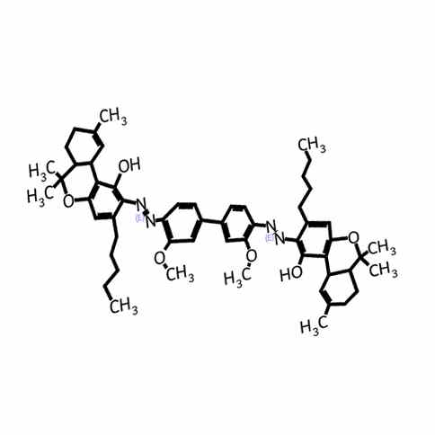 CCCCCc1cc2c(c(O)c1/N=N/c1ccc(-c3ccc(/N=N/c4c(CCCCC)cc5c(c4O)C4C=C(C)CCC4C(C)(C)O5)c(OC)c3)cc1OC)C1C=C(C)CCC1C(C)(C)O2